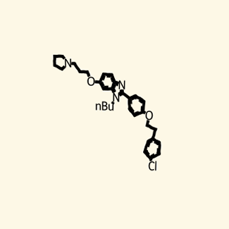 CCCCn1c(-c2ccc(OCCc3ccc(Cl)cc3)cc2)nc2ccc(OCCCN3CCCC3)cc21